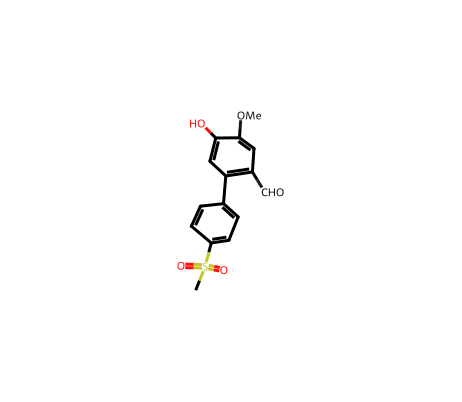 COc1cc(C=O)c(-c2ccc(S(C)(=O)=O)cc2)cc1O